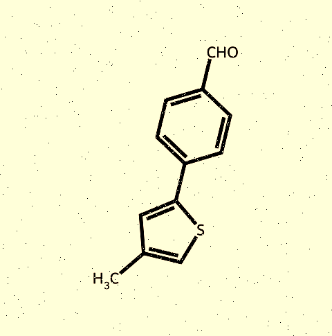 Cc1csc(-c2ccc(C=O)cc2)c1